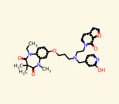 CCN1C(=O)C(C)(C)C(=O)N(C)c2cc(OCCCN(CCn3ccc4ccoc4c3=O)Cc3ccnc(O)c3)ccc21